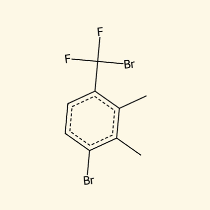 Cc1c(Br)ccc(C(F)(F)Br)c1C